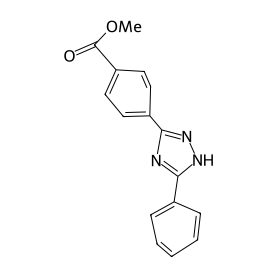 COC(=O)c1ccc(-c2n[nH]c(-c3ccccc3)n2)cc1